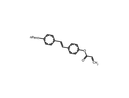 C=CC(=O)Oc1ccc(C=Cc2ccc(CCCCC)cc2)cc1